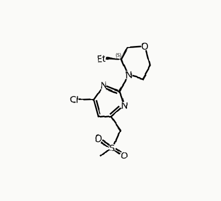 CC[C@H]1COCCN1c1nc(Cl)cc(CS(C)(=O)=O)n1